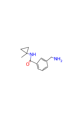 CC1(NC(=O)c2cccc(CN)c2)CC1